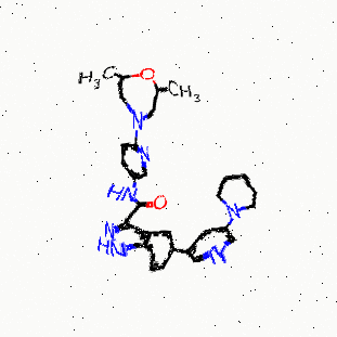 CC1CN(c2ccc(NC(=O)c3n[nH]c4ccc(-c5cncc(N6CCCCC6)c5)cc34)cn2)CC(C)O1